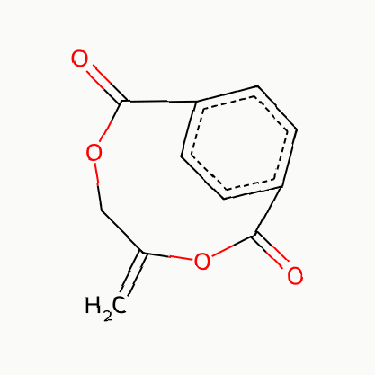 C=C1COC(=O)c2ccc(cc2)C(=O)O1